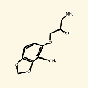 Cc1c(OCC(O)CN)ccc2c1OCO2